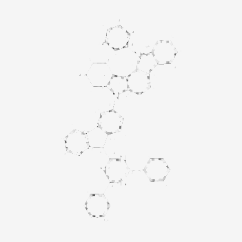 c1ccc(-c2nc(-c3ccccc3)nc(C3c4ccccc4-c4cc(-n5c6c(c7c5ccc5c8ccccc8n(-c8ccccc8)c57)CCCC6)ccc43)n2)cc1